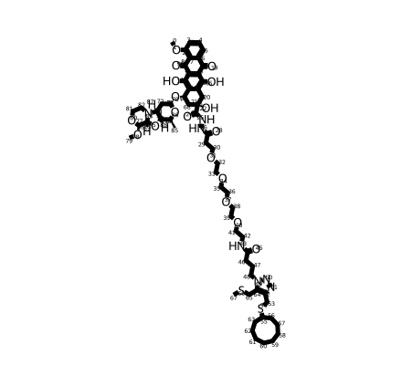 COc1cccc2c1C(=O)c1c(O)c3c(c(O)c1C2=O)C[C@@](O)(C(=O)NNC(=O)CCOCCOCCOCCOCCNC(=O)CCCn1nnc(CSC2CCCCCCCC2)c1CSC)C[C@@H]3O[C@H]1C[C@H]2[C@H](O[C@@H]3[C@@H](OC)OCCN32)[C@H](C)O1